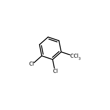 Clc1cccc(C(Cl)(Cl)Cl)c1Cl